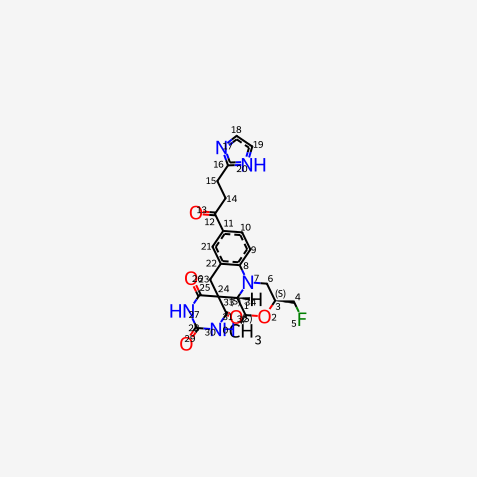 C[C@@H]1O[C@H](CF)CN2c3ccc(C(=O)CCc4ncc[nH]4)cc3CC3(C(=O)NC(=O)NC3=O)[C@@H]12